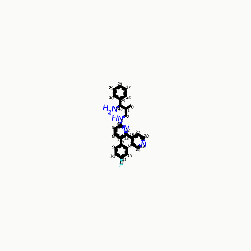 CC(CNc1ccc(-c2ccc(F)cc2)c(-c2ccncc2)n1)C(N)c1ccccc1